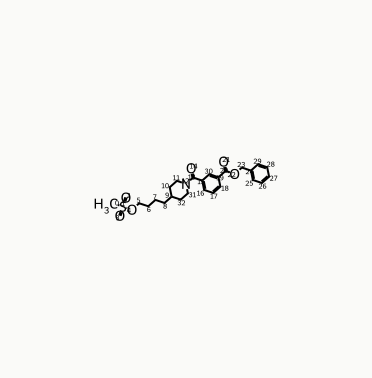 CS(=O)(=O)OCCCCC1CCN(C(=O)c2cccc(C(=O)OCc3ccccc3)c2)CC1